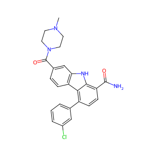 CN1CCN(C(=O)c2ccc3c(c2)[nH]c2c(C(N)=O)ccc(-c4cccc(Cl)c4)c23)CC1